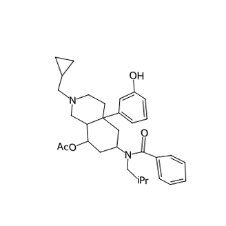 CC(=O)OC1CC(N(CC(C)C)C(=O)c2ccccc2)CC2(c3cccc(O)c3)CCN(CC3CC3)CC12